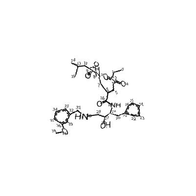 CCS(=O)(=O)CC(CNS(=O)(=O)CC(C)C)C(=O)N[C@@H](Cc1ccccc1)[C@@H](O)CNCc1cccc(OC)c1